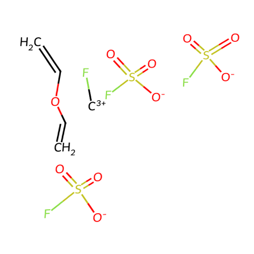 C=COC=C.O=S(=O)([O-])F.O=S(=O)([O-])F.O=S(=O)([O-])F.[C+3]F